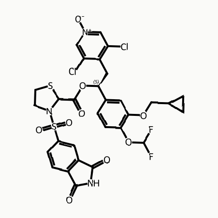 O=C1NC(=O)c2cc(S(=O)(=O)N3CCSC3C(=O)O[C@@H](Cc3c(Cl)c[n+]([O-])cc3Cl)c3ccc(OC(F)F)c(OCC4CC4)c3)ccc21